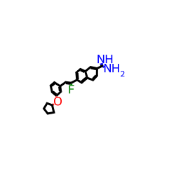 N=C(N)c1ccc2cc(/C(F)=C/c3cccc(OC4CCCC4)c3)ccc2c1